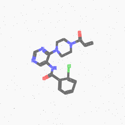 C=CC(=O)N1CCN(c2ncncc2NC(=O)c2ccccc2Cl)CC1